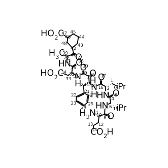 CC(C)C[C@H](NC(=O)[C@@H](NC(=O)[C@@H](N)CCC(=O)O)C(C)C)C(=O)N[C@@H](Cc1ccccc1)[C@@H](O)C(=O)N[C@@H](CC(=O)O)C(=O)N[C@@H](C)C(=O)C1CCCC(C(=O)O)C1